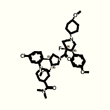 COC[C@H]1CN(C(=O)[C@]2(F)CN([C@H]3CC[C@H](OC)CC3)C[C@H]2c2ccc(OC)cc2)C[C@@H]1c1ccc(Cl)cc1N1CCC(C(=O)N(C)C)CC1